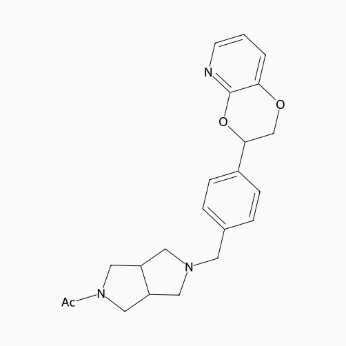 CC(=O)N1CC2CN(Cc3ccc(C4COc5cccnc5O4)cc3)CC2C1